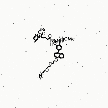 COC(=O)C[C@@H](NC(=O)CNC(=O)CCCN(C(=O)OC(C)(C)C)c1cc(C)ccn1)c1ccc(-c2ccc(OCCOCCOCCN=[N+]=[N-])c3ccccc23)cc1